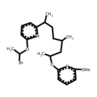 CSc1cccc(OC(C)CC(C)CCC(C)c2cccc(OC(C)C(C)C)n2)n1